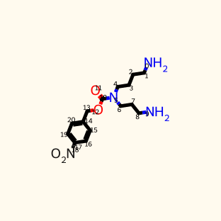 NCCCCN(CCCN)C(=O)OCc1ccc([N+](=O)[O-])cc1